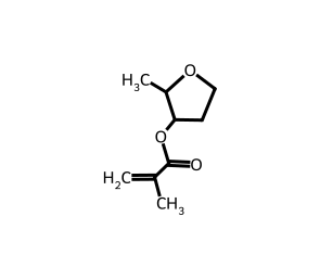 C=C(C)C(=O)OC1CCOC1C